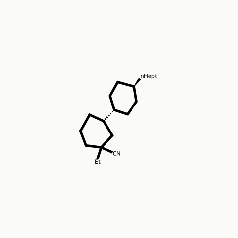 CCCCCCC[C@H]1CC[C@H](C2CCCC(C#N)(CC)C2)CC1